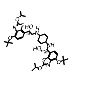 CC(C)Oc1nc2c(OC(C)(C)C)ccc([C@H](O)CNC3CCC(N[C@@H](CO)c4ccc(OC(C)(C)C)c5nc(OC(C)C)sc45)CC3)c2s1